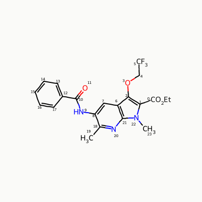 CCOC(=O)c1c(OCC(F)(F)F)c2cc(NC(=O)c3ccccc3)c(C)nc2n1C